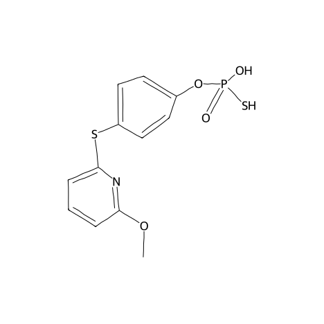 COc1cccc(Sc2ccc(OP(=O)(O)S)cc2)n1